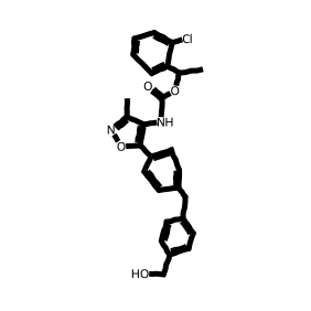 Cc1noc(-c2ccc(Cc3ccc(CO)cc3)cc2)c1NC(=O)OC(C)c1ccccc1Cl